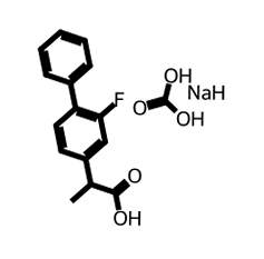 CC(C(=O)O)c1ccc(-c2ccccc2)c(F)c1.O=C(O)O.[NaH]